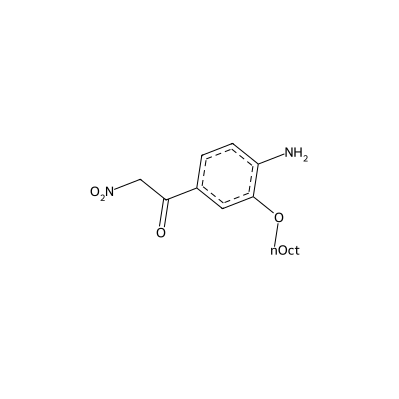 CCCCCCCCOc1cc(C(=O)C[N+](=O)[O-])ccc1N